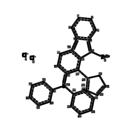 [Cl-].[Cl-].[Zr+2][C]1=c2ccccc2=c2ccc(=[Si](c3ccccc3)c3ccccc3)c(C3=CC=CC3)c21